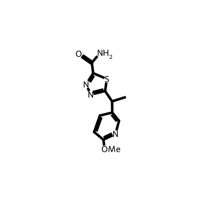 COc1ccc(C(C)c2nnc(C(N)=O)s2)cn1